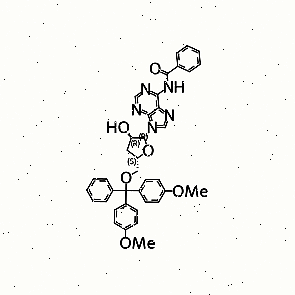 COc1ccc(C(OC[C@@H]2C[C@@H](O)[C@H](n3cnc4c(NC(=O)c5ccccc5)ncnc43)O2)(c2ccccc2)c2ccc(OC)cc2)cc1